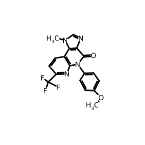 COc1ccc(-n2c(=O)c3ncn(C)c3c3ccc(C(F)(F)F)nc32)cc1